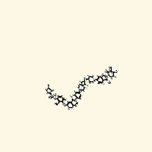 N#Cc1c(NS(=O)(=O)N2CC[C@@H](F)C2)ccc(F)c1Oc1ccc2ncn(-c3ccc(N4CCC5(CC4)CC(OC4CCN(c6ccc7c(c6)CN([C@@H]6CCC(=O)NC6=O)C7=O)CC4)C5)cc3)c(=O)c2c1